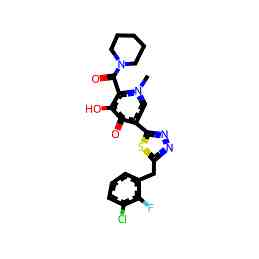 Cn1cc(-c2nnc(Cc3cccc(Cl)c3F)s2)c(=O)c(O)c1C(=O)N1CCCCC1